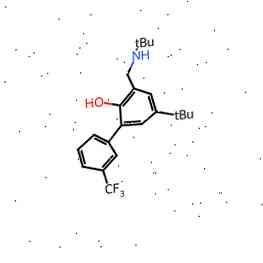 CC(C)(C)NCc1cc(C(C)(C)C)cc(-c2cccc(C(F)(F)F)c2)c1O